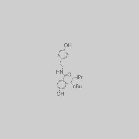 CCCCC(CC(C)C)c1cc(O)ccc1C(=O)NCCc1ccc(O)cc1